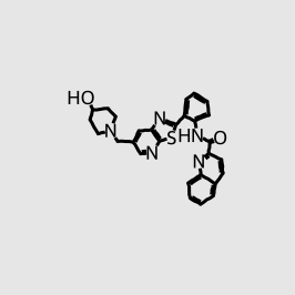 O=C(Nc1ccccc1-c1nc2cc(CN3CCC(O)CC3)cnc2s1)c1ccc2ccccc2n1